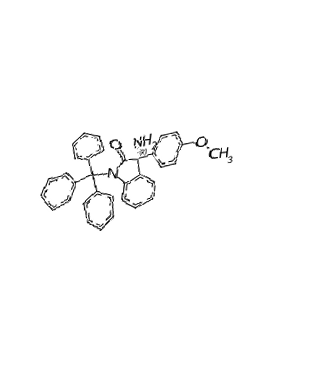 COc1ccc([C@]2(N)C(=O)N(C(c3ccccc3)(c3ccccc3)c3ccccc3)c3ccccc32)cc1